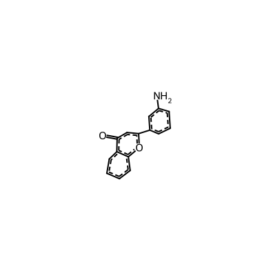 Nc1cccc(-c2cc(=O)c3ccccc3o2)c1